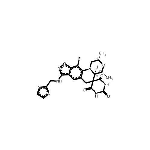 C[C@H]1CN2c3c(cc4c(NCc5nccs5)noc4c3F)CC3(C(=O)NC(=O)NC3=O)[C@@H]2[C@@H](C)O1